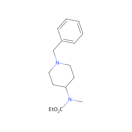 CCOC(=O)N(C)C1CCN(Cc2ccccc2)CC1